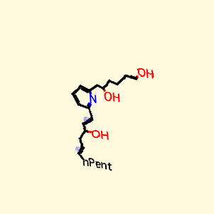 CCCCC/C=C/CC(O)/C=C/c1cccc(CC(O)CCCCO)n1